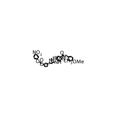 COc1ccc(Cn2c(=O)c3ccc(Nc4cc([C@H]5CC[C@@H](OC(=O)Oc6ccc([N+](=O)[O-])cc6)C5)nn4C(C)(C)C)cc3n2C)cc1